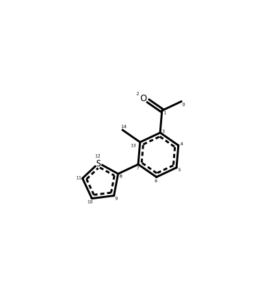 CC(=O)c1cccc(-c2cccs2)c1C